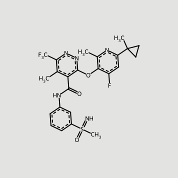 Cc1nc(C2(C)CC2)cc(F)c1Oc1nnc(C(F)(F)F)c(C)c1C(=O)Nc1cccc(S(C)(=N)=O)c1